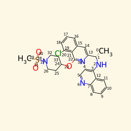 C[C@H](Nc1ccnc2ccccc12)c1cc2cccc(Cl)c2c(OC2CCN(S(C)(=O)=O)CC2)n1